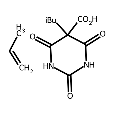 C=CC.CCC(C)C1(C(=O)O)C(=O)NC(=O)NC1=O